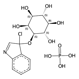 O=P(O)(O)O.O[C@@H]1[C@@H](O)[C@H](O)[C@@H](OC2(Cl)C=Nc3ccccc32)[C@@H](O)[C@H]1O